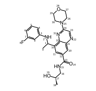 CC(Nc1cccc(F)c1)c1cc(C(=O)NC[C@@H](C)O)cc2ncc(N3CCOCC3)nc12